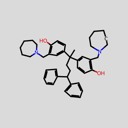 CC(CCC(c1ccccc1)c1ccccc1)(c1ccc(O)c(CN2CCCCCC2)c1)c1ccc(O)c(CN2CCCCCC2)c1